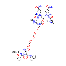 CCn1nc(C)cc1C(=O)N=c1n(C)c2cc(C(N)=O)ccc2n1CCC(CCn1c(=NC(=O)c2cc(C)nn2CC)n(C)c2cc(C(N)=O)ccc21)OCC(=O)NCCOCCOCCOCCOCCOCC(=O)N[C@H]1C[C@@H](C(=O)NC2CCCc3ccccc32)N(C(=O)[C@@H](NC(=O)[C@H](C)NC)C2CCCCC2)C1